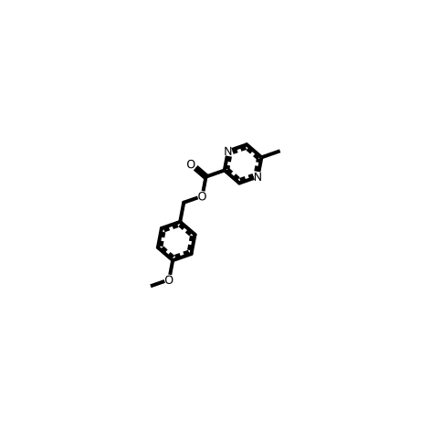 COc1ccc(COC(=O)c2cnc(C)cn2)cc1